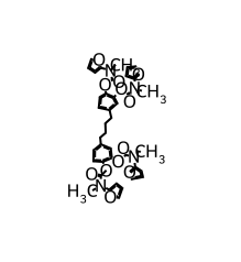 CN(C(=O)Oc1ccc(CCCCc2ccc(OC(=O)N(C)c3ccco3)c(OC(=O)N(C)c3ccco3)c2)cc1OC(=O)N(C)c1ccco1)c1ccco1